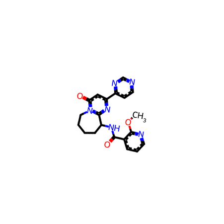 COc1ncccc1C(=O)NC1CCCCn2c1nc(-c1ccncn1)cc2=O